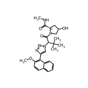 CNC(=O)[C@H]1CC(O)CN1C(=O)C(n1cc(-c2c(OC)ccc3ccccc23)nn1)C(C)(C)C